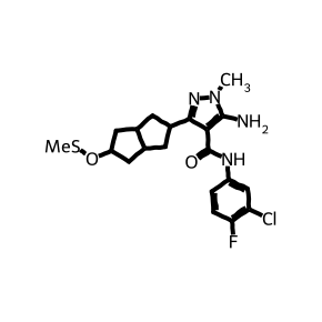 CSOC1CC2CC(c3nn(C)c(N)c3C(=O)Nc3ccc(F)c(Cl)c3)CC2C1